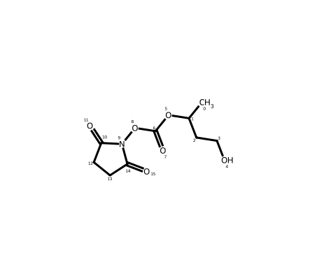 CC(CCO)OC(=O)ON1C(=O)CCC1=O